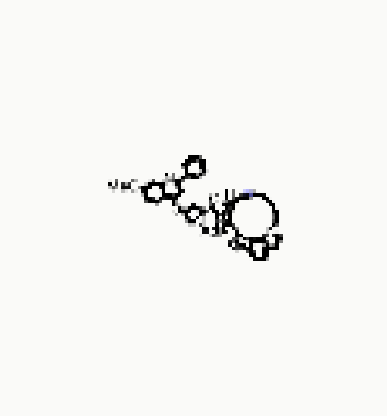 COc1ccc2c(O[C@@H]3C[C@@H](C(=O)N[C@]45C[C@H]4/C=C\CCCCn4ccc6cccc(c64)S(=O)(=O)NC5=O)N(C(C)=O)C3)cc(-c3ccccc3)nc2c1